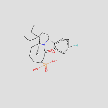 CCC1(CC)CC[C@H](c2ccc(F)cc2)N2C(=O)C(P(=O)(O)O)CCC[C@H]21